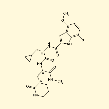 CNC(=O)[C@H](C[C@@H]1CCCNC1=O)NC(=O)[C@H](CC1CC1)NC(=O)c1cc2c(OC)ccc(F)c2[nH]1